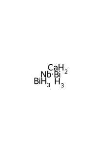 [BiH3].[BiH3].[CaH2].[Nb]